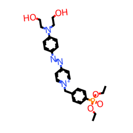 CCOP(=O)(OCC)c1ccc(C[n+]2ccc(/N=N/c3ccc(N(CCO)CCO)cc3)cc2)cc1